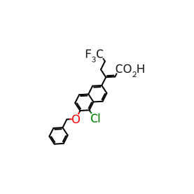 O=C(O)/C=C(\CCC(F)(F)F)c1ccc2c(Cl)c(OCc3ccccc3)ccc2c1